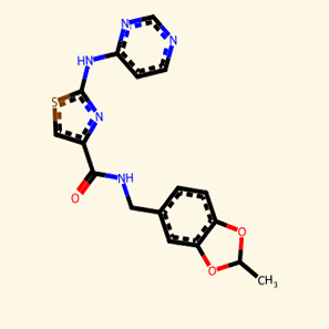 CC1Oc2ccc(CNC(=O)c3csc(Nc4ccncn4)n3)cc2O1